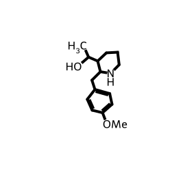 COc1ccc(CC2NCCCC2C(C)O)cc1